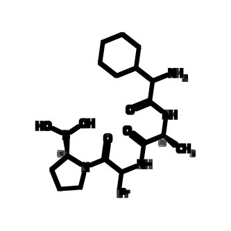 CC(C)C(NC(=O)[C@H](C)NC(=O)C(N)C1CCCCC1)C(=O)N1CCC[C@H]1B(O)O